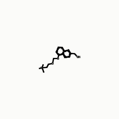 C[Si](C)(C)CCOCOc1cccc2cc(CO)ccc12